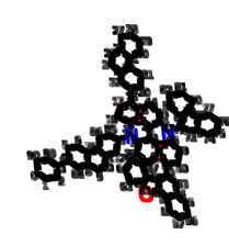 c1ccc(-c2ccc3c(ccc4cc(N(c5ccc(-c6ccc7c(ccc8ccccc87)c6)cc5)c5ccccc5-c5ccccc5N(c5ccc(-c6cc7ccccc7c7oc8ccccc8c67)cc5)c5cc6ccccc6c6ccccc56)ccc43)c2)cc1